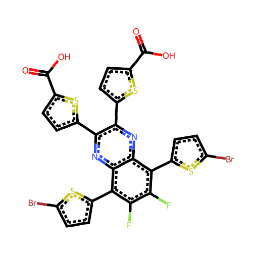 O=C(O)c1ccc(-c2nc3c(-c4ccc(Br)s4)c(F)c(F)c(-c4ccc(Br)s4)c3nc2-c2ccc(C(=O)O)s2)s1